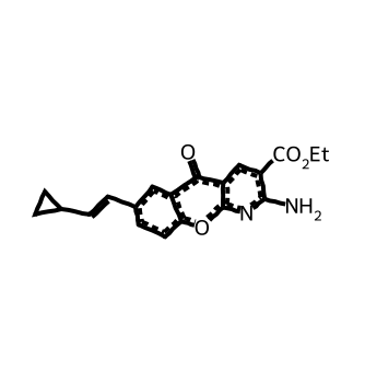 CCOC(=O)c1cc2c(=O)c3cc(/C=C/C4CC4)ccc3oc2nc1N